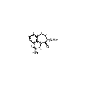 CNC1CCc2ccccc2N(CC(=O)C(C)C)C1=O